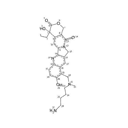 CCC1(O)C(=O)OCc2c1cc1n(c2=O)Cc2cc3c(CN(C)CCCCN)c(O)ccc3nc2-1